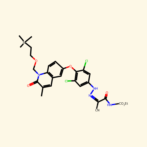 CCOC(=O)NC(=O)C(C#N)=NNc1cc(Cl)c(Oc2ccc3c(c2)cc(C)c(=O)n3COCC[Si](C)(C)C)c(Cl)c1